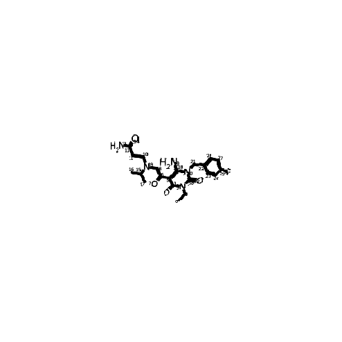 CCn1c(=O)c(C(=O)CN(CCC(N)=O)C(C)C)c(N)n(Cc2ccc(F)cc2)c1=O